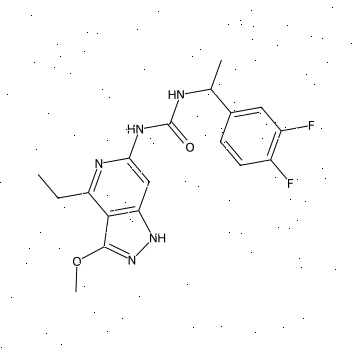 CCc1nc(NC(=O)NC(C)c2ccc(F)c(F)c2)cc2[nH]nc(OC)c12